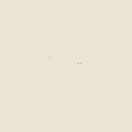 CC(C)O.CNC